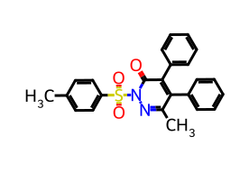 Cc1ccc(S(=O)(=O)n2nc(C)c(-c3ccccc3)c(-c3ccccc3)c2=O)cc1